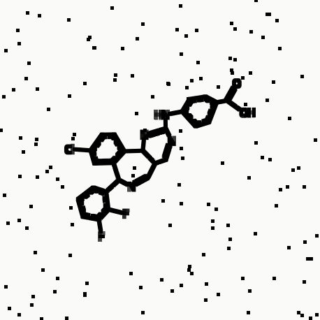 O=C(O)c1ccc(NC2=NC3c4ccc(Cl)cc4C(c4cccc(F)c4F)N=CC3C=N2)cc1